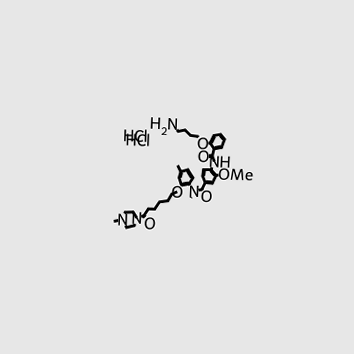 COc1cc(C(=O)N(C)c2ccc(C)cc2OCCCCCC(=O)N2CCN(C)CC2)ccc1NC(=O)c1ccccc1OCCCCN.Cl.Cl